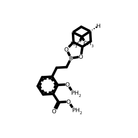 CC1(C)C2C[C@H]1CC1OB(CCc3cccc(C(=O)OP)c3OP)OC12